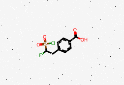 O=C(O)c1ccc(CC(F)S(=O)(=O)Cl)cc1